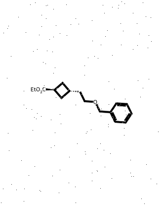 CCOC(=O)[C@H]1C[C@H](CCOCc2ccccc2)C1